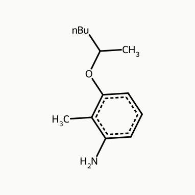 CCCCC(C)Oc1cccc(N)c1C